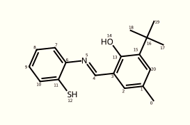 Cc1cc(C=Nc2ccccc2S)c(O)c(C(C)(C)C)c1